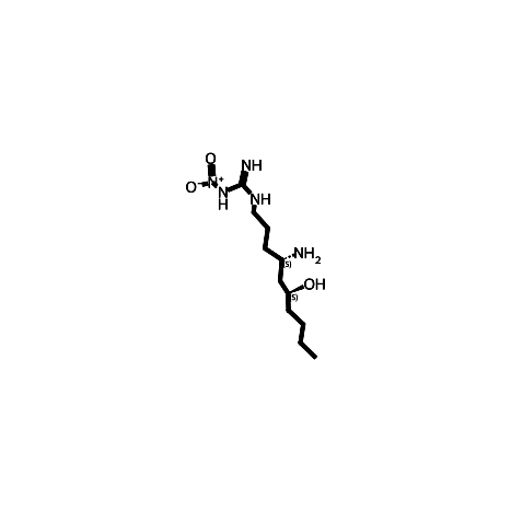 CCCC[C@H](O)C[C@@H](N)CCCNC(=N)N[N+](=O)[O-]